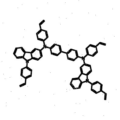 C=Cc1ccc(N(c2ccc(-c3ccc(N(c4ccc(C=C)cc4)c4ccc5c(c4)c4ccccc4n5-c4ccc(C=C)cc4)cc3)cc2)c2ccc3c(c2)c2ccccc2n3-c2ccc(C=C)cc2)cc1